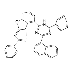 c1ccc(-c2ccc3c(c2)oc2cccc(C4=NC(c5cccc6ccccc56)=NC(c5ccccc5)N4)c23)cc1